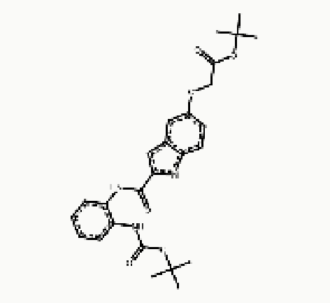 CC(C)(C)OC(=O)COc1ccc2[nH]c(C(=O)Nc3ccccc3NC(=O)OC(C)(C)C)cc2c1